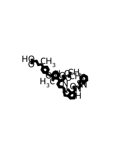 Cc1c(Oc2ccc(C(C)CCC(=O)O)cc2)cccc1-c1ccc(N2CCc3cccc(C(=O)Nc4nc5ccccc5s4)c3C2)nc1C(=O)OC(C)(C)C